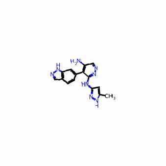 Cc1cc(Nc2nncc(N)c2-c2ccc3cn[nH]c3c2)n[nH]1